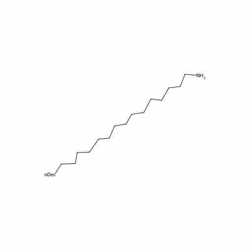 CCCCCCCCCCCCCCCCCCCCCCCCCN